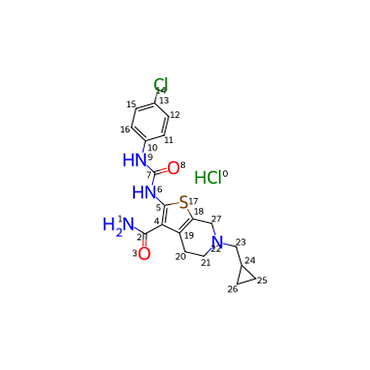 Cl.NC(=O)c1c(NC(=O)Nc2ccc(Cl)cc2)sc2c1CCN(CC1CC1)C2